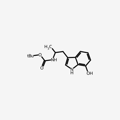 CC(Cc1c[nH]c2c(O)cccc12)NC(=O)OC(C)(C)C